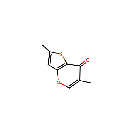 Cc1cc2occ(C)c(=O)c2s1